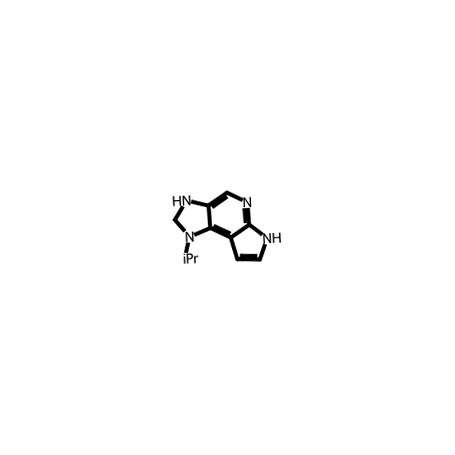 CC(C)N1CNc2cnc3[nH]ccc3c21